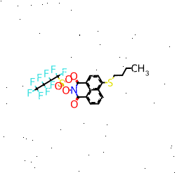 CCCCSc1ccc2c3c(cccc13)C(=O)N(OS(=O)(=O)C(F)(F)C(F)(F)C(F)(F)C(F)(F)F)C2=O